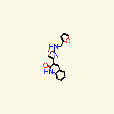 O=c1[nH]c2ccccc2cc1-c1csc(NCc2ccco2)n1